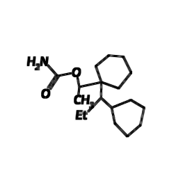 CCC(C1CCCCC1)C1(C(C)OC(N)=O)CCCCC1